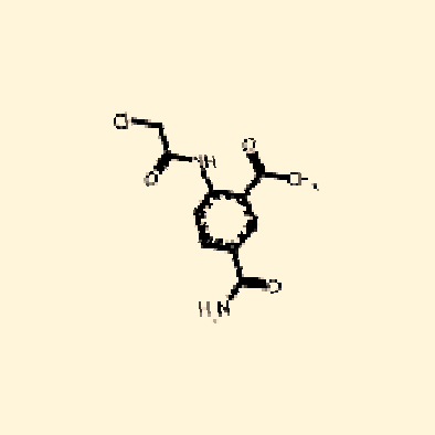 CC(=O)c1cc(C(N)=O)ccc1NC(=O)CCl